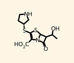 CC(O)C1C(=O)N2C(C(=O)O)=C(S[C@H]3CCNC3)SC12